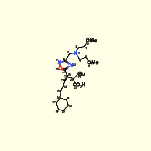 COCCN(CCOC)Cc1noc([C@H](CCCC2CCCCC2)C(C(=O)O)C(C)(C)C)n1